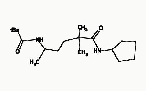 CC(CCC(C)(C)C(=O)NC1CCCC1)NC(=O)C(C)(C)C